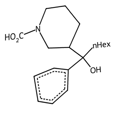 CCCCCCC(O)(c1ccccc1)C1CCCN(C(=O)O)C1